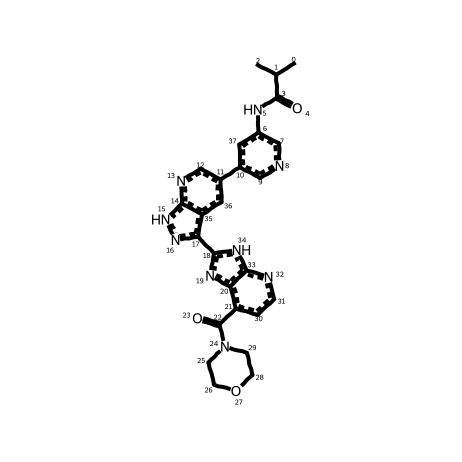 CC(C)C(=O)Nc1cncc(-c2cnc3[nH]nc(-c4nc5c(C(=O)N6CCOCC6)ccnc5[nH]4)c3c2)c1